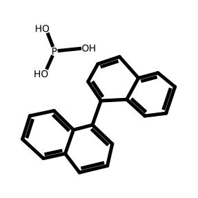 OP(O)O.c1ccc2c(-c3cccc4ccccc34)cccc2c1